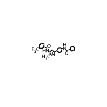 Cn1nc(-c2ccc(NC(=O)c3ccccc3)cc2)cc1NC(=O)c1cccc(C(F)(F)F)c1